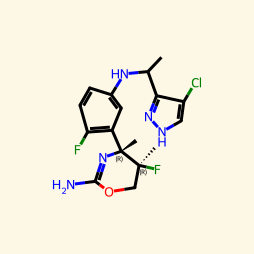 CC(Nc1ccc(F)c([C@@]2(C)N=C(N)OC[C@]2(C)F)c1)c1n[nH]cc1Cl